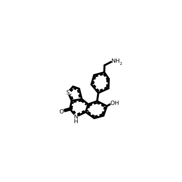 NCc1ccc(-c2c(O)ccc3[nH]c(=O)c4sccc4c23)cc1